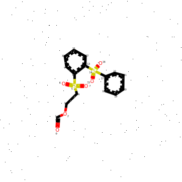 O=COCCS(=O)(=O)c1ccccc1S(=O)(=O)c1ccccc1